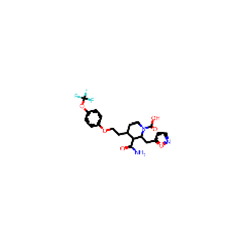 NC(=O)C1C(CCOc2ccc(OC(F)(F)F)cc2)CCN(C(=O)O)C1Cc1ccno1